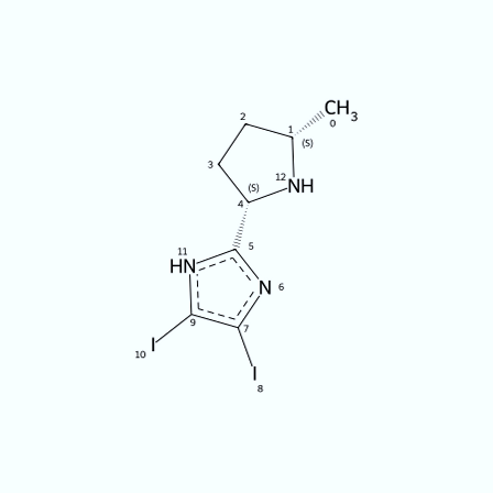 C[C@H]1CC[C@@H](c2nc(I)c(I)[nH]2)N1